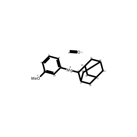 C=O.COc1ccc[c]([Mg][CH]2C3CC4CC(C3)CC2C4)c1